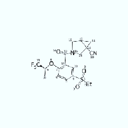 CCS(=O)(=O)c1ccc(O[C@@H](C)C(F)(F)F)c(C(=O)N2CC3CC3(C#N)C2)c1